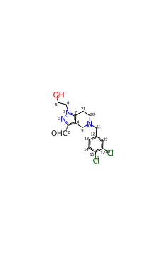 O=Cc1nn(CCO)c2c1CN(Cc1ccc(Cl)c(Cl)c1)CC2